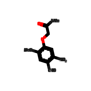 CNC(=O)COc1cc([N+](=O)[O-])c(C=O)cc1OC